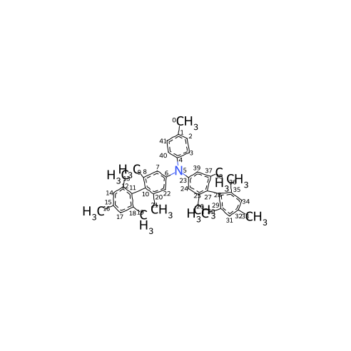 Cc1ccc(N(c2cc(C)c(-c3c(C)cc(C)cc3C)c(C)c2)c2cc(C)c(-c3c(C)cc(C)cc3C)c(C)c2)cc1